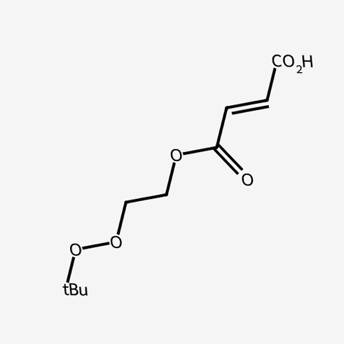 CC(C)(C)OOCCOC(=O)/C=C/C(=O)O